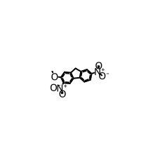 COc1cc2c(cc1[N+](=O)[O-])-c1ccc([N+](=O)[O-])cc1C2